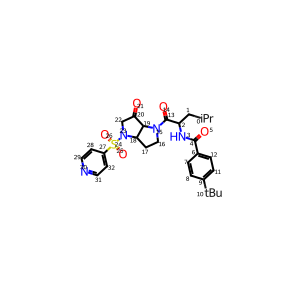 CC(C)CC(NC(=O)c1ccc(C(C)(C)C)cc1)C(=O)N1CCC2C1C(=O)CN2S(=O)(=O)c1ccncc1